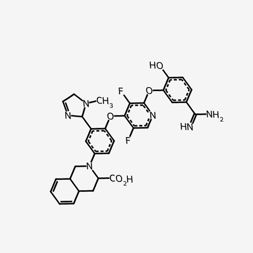 CN1CC=NC1c1cc(N2CC3C=CC=CC3CC2C(=O)O)ccc1Oc1c(F)cnc(Oc2cc(C(=N)N)ccc2O)c1F